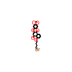 O=C1C(Oc2ccc3c(c2)OCO3)=CC(=O)c2c(OCCCCBr)cccc21